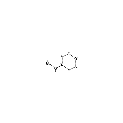 [CH2]CON1CCOCC1